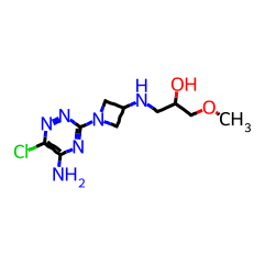 COCC(O)CNC1CN(c2nnc(Cl)c(N)n2)C1